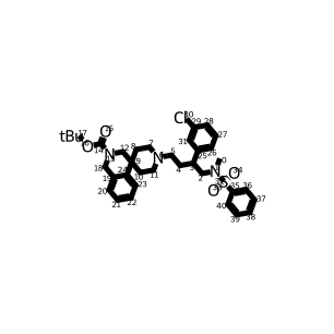 CN(CC(CCN1CCC2(CC1)CN(C(=O)OC(C)(C)C)Cc1ccccc12)c1cccc(Cl)c1)S(=O)(=O)c1ccccc1